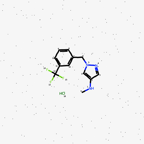 CNc1cnn(Cc2cccc(C(F)(F)F)c2)c1.Cl